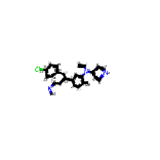 C=CN(c1ccncc1)c1cc(/C(=C/C=N\C)Cc2ccc(Cl)cc2)ccc1C